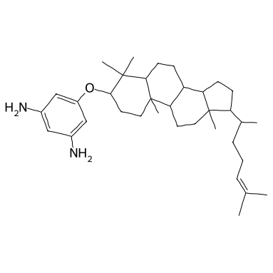 CC(C)=CCCC(C)C1CCC2C3CCC4C(C)(C)C(Oc5cc(N)cc(N)c5)CCC4(C)C3CCC12C